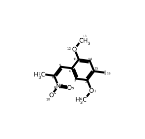 COc1cc(C=C(C)[N+](=O)[O-])c(OC)cc1I